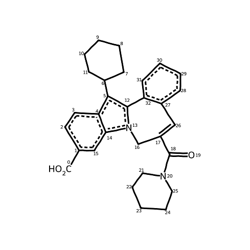 O=C(O)c1ccc2c(C3CCCCC3)c3n(c2c1)CC(C(=O)N1CCCCC1)=Cc1ccccc1-3